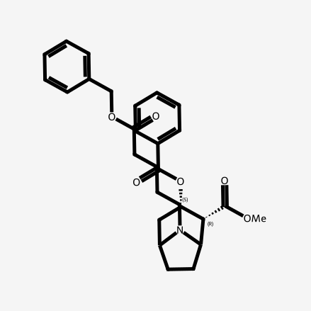 COC(=O)[C@@H]1C2CCC(C[C@@H]1OC(=O)c1ccccc1)N2CCCCC(=O)OCc1ccccc1